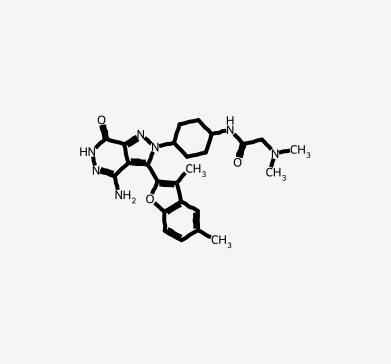 Cc1ccc2oc(-c3c4c(N)n[nH]c(=O)c4nn3C3CCC(NC(=O)CN(C)C)CC3)c(C)c2c1